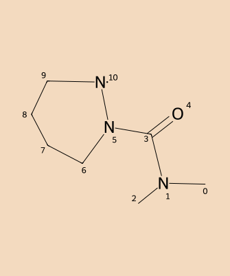 CN(C)C(=O)N1CCCC[N]1